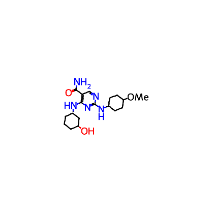 COC1CCC(Nc2ncc(C(N)=O)c(N[C@@H]3CCC[C@H](O)C3)n2)CC1